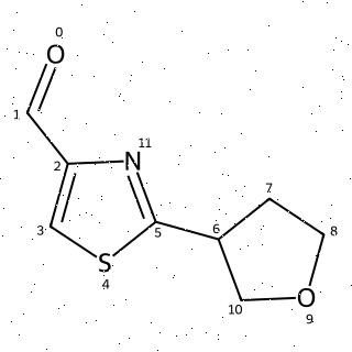 O=Cc1csc(C2CCOC2)n1